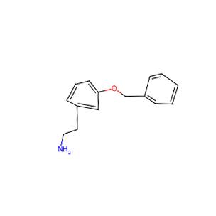 NCCc1cccc(OCc2ccccc2)c1